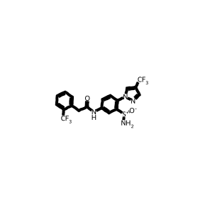 N[S+]([O-])c1cc(NC(=O)Cc2ccccc2C(F)(F)F)ccc1-n1cc(C(F)(F)F)cn1